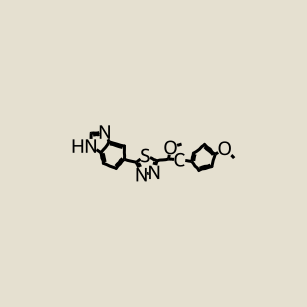 COc1ccc(CC(OC)c2nnc(-c3ccc4[nH]cnc4c3)s2)cc1